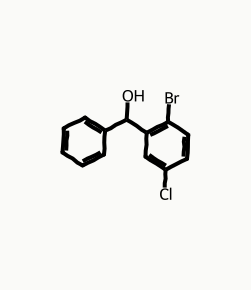 OC(c1ccccc1)c1cc(Cl)ccc1Br